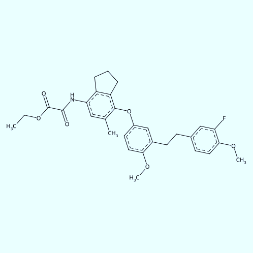 CCOC(=O)C(=O)Nc1cc(C)c(Oc2ccc(OC)c(CCc3ccc(OC)c(F)c3)c2)c2c1CCC2